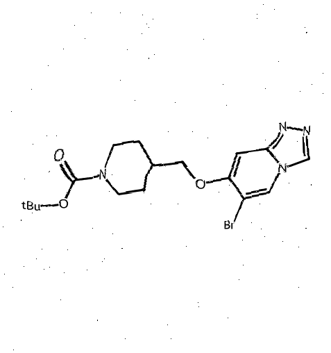 CC(C)(C)OC(=O)N1CCC(COc2cc3nncn3cc2Br)CC1